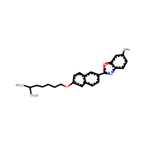 CCOC(=O)C(CCCCCOc1ccc2cc(-c3nc4ccc(OC)cc4o3)ccc2c1)C(=O)OCC